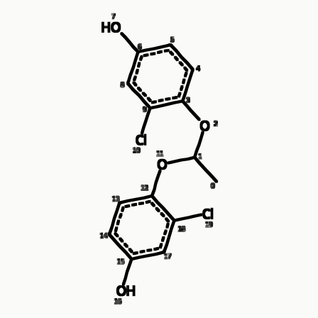 CC(Oc1ccc(O)cc1Cl)Oc1ccc(O)cc1Cl